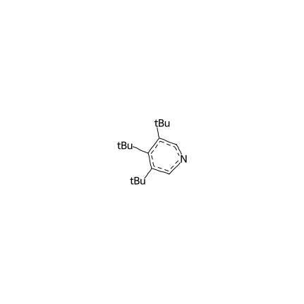 CC(C)(C)c1cncc(C(C)(C)C)c1C(C)(C)C